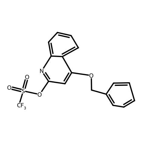 O=S(=O)(Oc1cc(OCc2ccccc2)c2ccccc2n1)C(F)(F)F